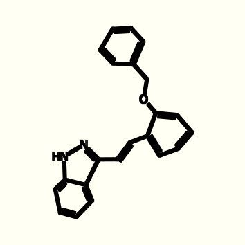 C(=C\c1n[nH]c2ccccc12)/c1ccccc1OCc1ccccc1